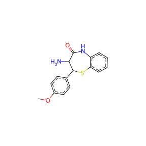 COc1ccc(C2Sc3ccccc3NC(=O)C2N)cc1